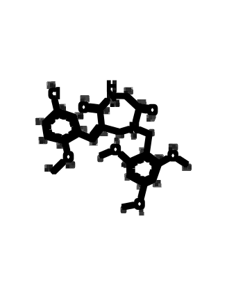 COc1cc(OC)c(CN2CC(=Cc3cc(Cl)ccc3OC)C(=O)NCC2=O)c(OC)c1